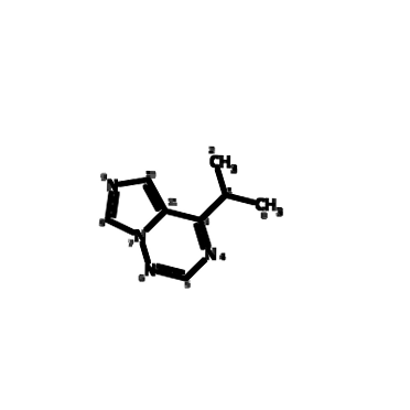 CC(C)c1ncnn2cncc12